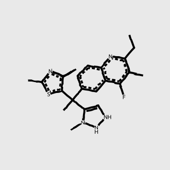 CCc1nc2ccc(C(C)(C3=CNNN3C)c3sc(C)nc3C)cc2c(F)c1C